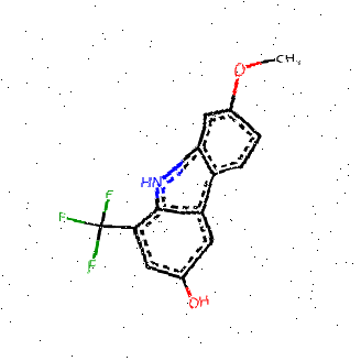 COc1ccc2c(c1)[nH]c1c(C(F)(F)F)cc(O)cc12